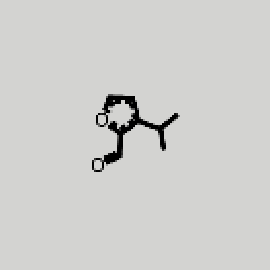 CC(C)c1ccoc1C=O